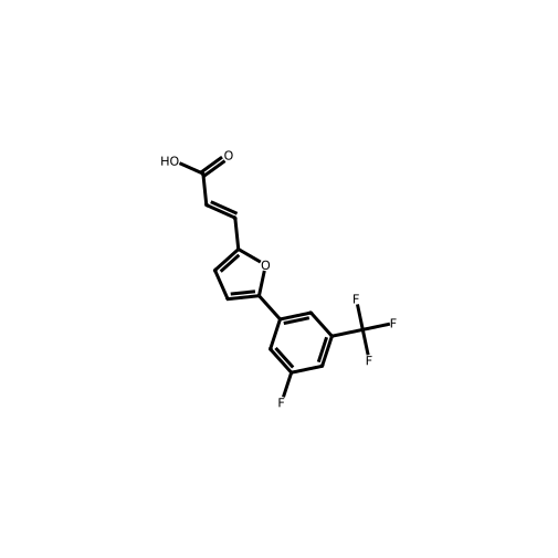 O=C(O)/C=C/c1ccc(-c2cc(F)cc(C(F)(F)F)c2)o1